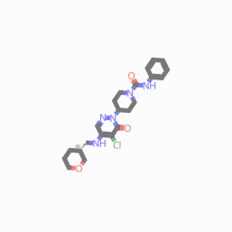 O=C(Nc1ccccc1)N1CCC(n2ncc(NC[C@H]3CCCOC3)c(Cl)c2=O)CC1